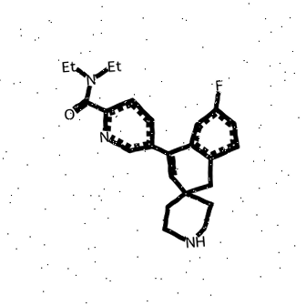 CCN(CC)C(=O)c1ccc(C2=CC3(CCNCC3)Cc3ccc(F)cc32)cn1